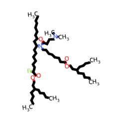 CCCCCCCCCC(CCCCCCC(F)C(=O)OCCC(CCCCC)CCCCC)N(CCCCCCCC(=O)OCCC(CCCCC)CCCCC)C(=O)CCCN(C)C